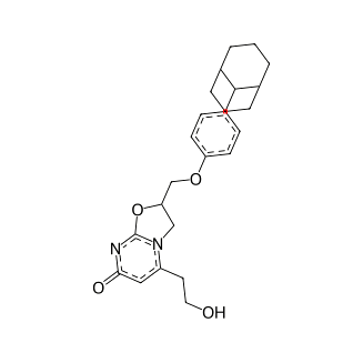 O=c1cc(CCO)n2c(n1)OC(COc1ccc(C3C4CCCC3CCC4)cc1)C2